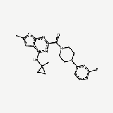 Cc1cc2c(NC3(C)CC3)nc(C(=O)N3CCN(c4cccc(F)n4)CC3)nc2o1